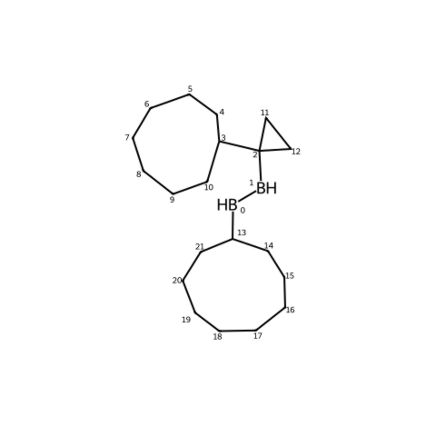 B(BC1(C2CCCCCCC2)CC1)C1CCCCCCCC1